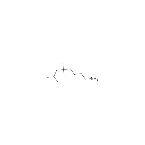 CC(C)CC(C)(C)CCCCN